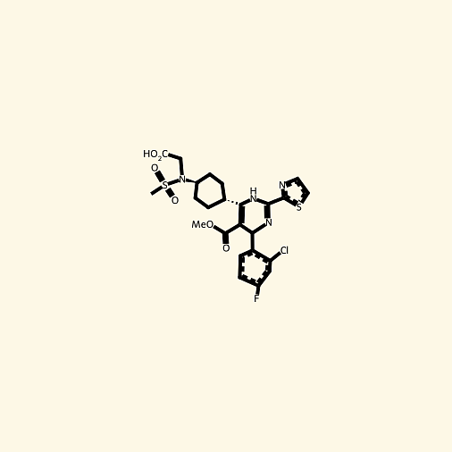 COC(=O)C1=C([C@H]2CC[C@H](N(CC(=O)O)S(C)(=O)=O)CC2)NC(c2nccs2)=NC1c1ccc(F)cc1Cl